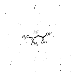 CN(C)CC(O)O.F